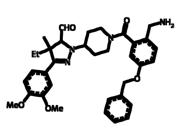 CCC1(C)C(c2ccc(OC)c(OC)c2)=NN(C2CCN(C(=O)c3cc(OCc4ccccc4)ccc3CN)CC2)C1C=O